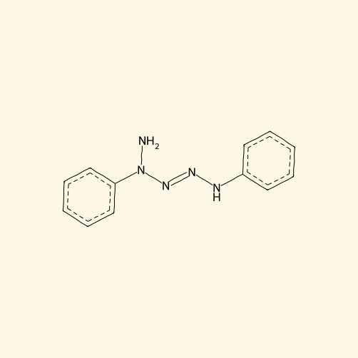 NN(N=NNc1ccccc1)c1ccccc1